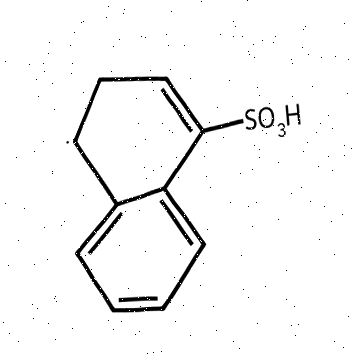 O=S(=O)(O)C1=CC[CH]c2ccccc21